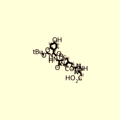 CC(C)(C)OC(=O)NC(C(=O)NC1C(=O)N2C(C(=O)O)=C(CSc3n[nH]c(CC(=O)O)n3)CS[C@@H]12)c1ccc(O)cc1